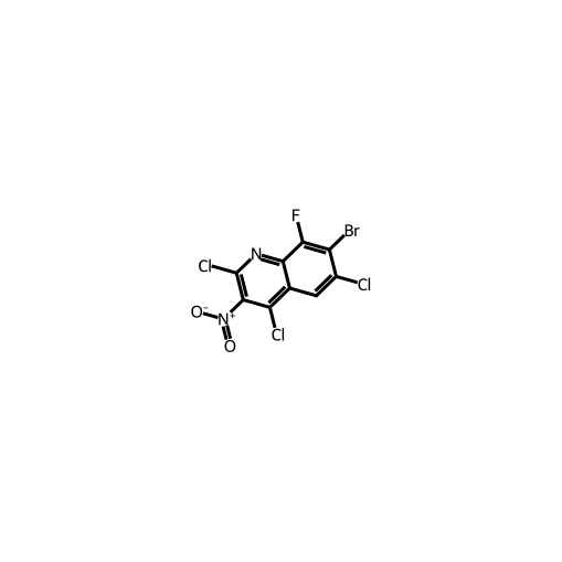 O=[N+]([O-])c1c(Cl)nc2c(F)c(Br)c(Cl)cc2c1Cl